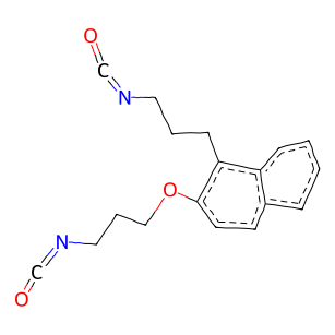 O=C=NCCCOc1ccc2ccccc2c1CCCN=C=O